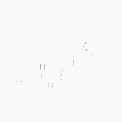 CCCCCN(CC)OC(=O)c1cnc(SC)nc1